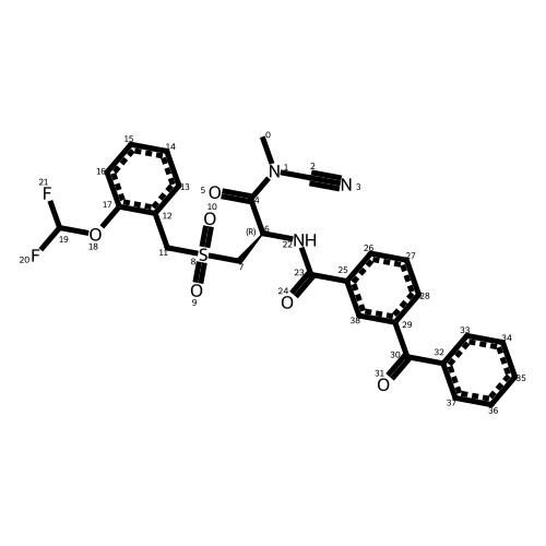 CN(C#N)C(=O)[C@H](CS(=O)(=O)Cc1ccccc1OC(F)F)NC(=O)c1cccc(C(=O)c2ccccc2)c1